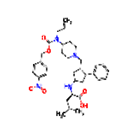 C=CCN(C(=O)OCc1ccc([N+](=O)[O-])cc1)C1CCN(CC2CC(N[C@H](CC(C)C)C(=O)O)CC2c2ccccc2)CC1